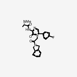 CN[C@@H](C)C(=O)Nc1ncc(-c2ccc(F)cc2)n(CC(=O)N2Cc3ccccc3C2)c1=O